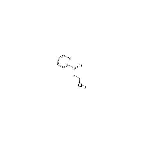 CCCC(=O)c1ccccn1